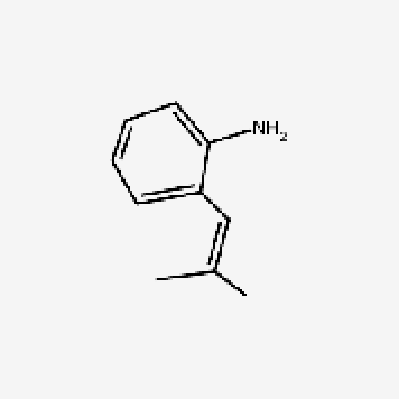 CC(C)=Cc1ccccc1N